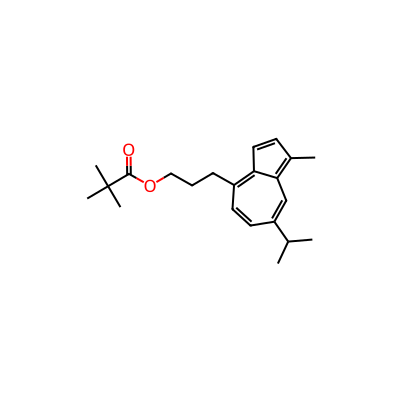 Cc1ccc2c(CCCOC(=O)C(C)(C)C)ccc(C(C)C)cc1-2